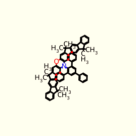 CC1(C)c2ccccc2-c2cc3c(cc21)-c1cc2c(cc1C3(C)C)Oc1cc3c(cc1N2c1c(-c2ccccc2)cc(-c2ccccc2)cc1-c1ccccc1)-c1cc2c(cc1C3(C)C)-c1ccccc1C2(C)C